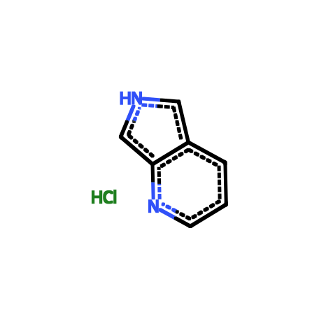 Cl.c1cnc2c[nH]cc2c1